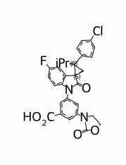 CC(C)[C@@]1(c2ccc(Cl)cc2)C[C@]12C(=O)N(c1cc(C(=O)O)cc(N3CCOC3=O)c1)c1ccc(F)cc12